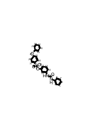 O=C(Nc1ccccc1)Nc1cccc(OS(=O)(=O)c2ccc(Oc3ccccc3)cc2)c1